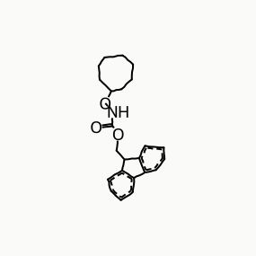 O=C(NOC1CCCCCCC1)OCC1c2ccccc2-c2ccccc21